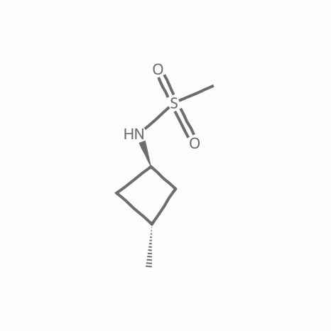 CS(=O)(=O)N[C@H]1C[C@H](C)C1